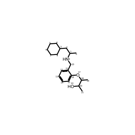 CC(CC1CCCCC1)NCc1ccccc1OC(C)C(C)O